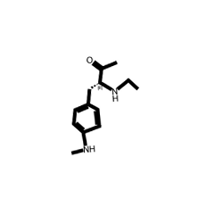 CCN[C@H](Cc1ccc(NC)cc1)C(C)=O